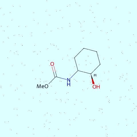 COC(=O)NC1CCCC[C@H]1O